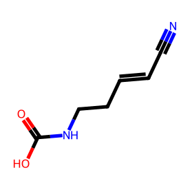 N#CC=CCCNC(=O)O